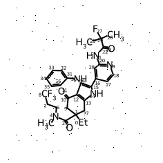 CCC1(C(=O)N(C)CCC(F)(F)F)CC(=O)c2c([nH]c(-c3ccnc(NC(=O)C(C)(C)F)c3)c2Nc2ccccc2)C1